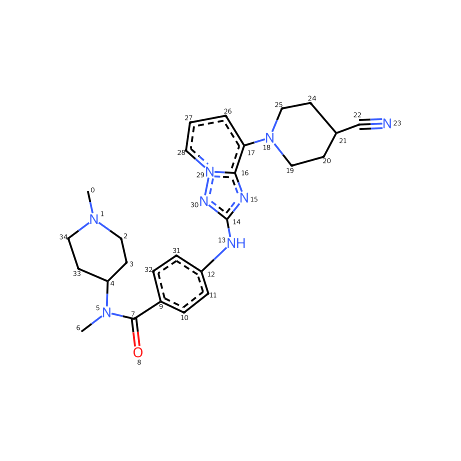 CN1CCC(N(C)C(=O)c2ccc(Nc3nc4c(N5CCC(C#N)CC5)cccn4n3)cc2)CC1